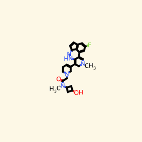 CN1C=C2C(=C(C3=CCCN(CC(=O)N(C)C4CC(O)C4)C3)C1)NN=C1C=Cc3cc(F)cc2c31